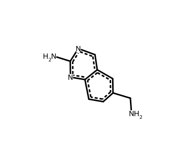 NCc1ccc2nc(N)ncc2c1